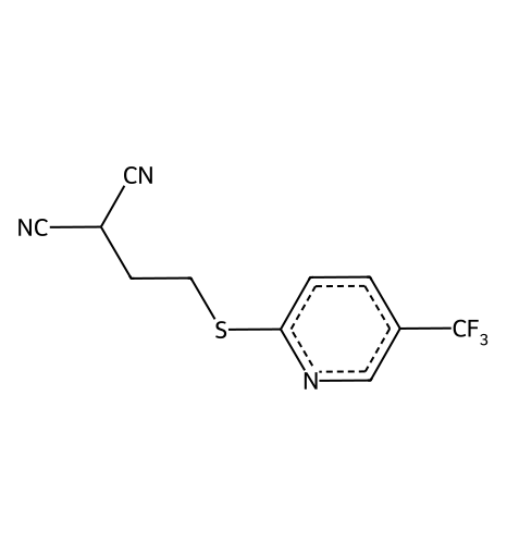 N#CC(C#N)CCSc1ccc(C(F)(F)F)cn1